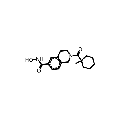 CC1(C(=O)N2CCc3cc(C(=O)NO)ccc3C2)CCCCC1